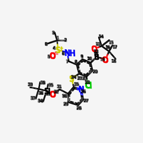 CC(C)(C)[S+]([O-])NCc1cc(B2OC(C)(C)C(C)(C)O2)cc(Cl)c1Sc1ncccc1CO[Si](C)(C)C(C)(C)C